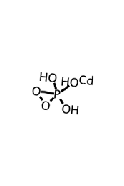 OP1(O)(O)OO1.[Cd]